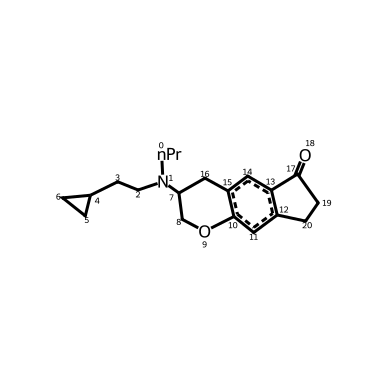 CCCN(CCC1CC1)C1COc2cc3c(cc2C1)C(=O)CC3